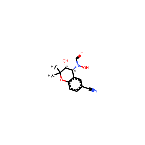 CC1(C)Oc2ccc(C#N)cc2[C@H](N(O)C=O)[C@H]1O